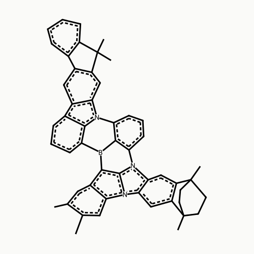 Cc1cc2c3c4n(c5cc6c(cc5n4c2cc1C)C1(C)CCC6(C)CC1)-c1cccc2c1B3c1cccc3c4cc5c(cc4n-2c13)C(C)(C)c1ccccc1-5